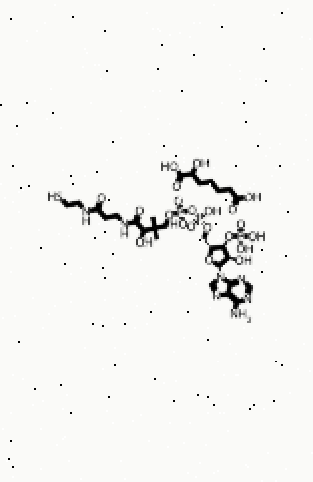 CC(C)(COP(=O)(O)OP(=O)(O)OC[C@H]1O[C@@H](n2cnc3c(N)ncnc32)[C@H](O)[C@@H]1OP(=O)(O)O)C(O)C(=O)NCCC(=O)NCCS.O=C(O)CCCCC(O)C(=O)O